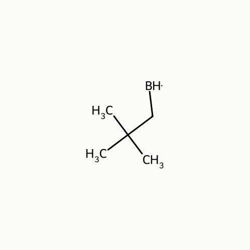 [BH]CC(C)(C)C